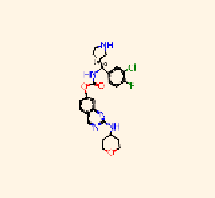 O=C(N[C@H](c1ccc(F)c(Cl)c1)[C@@H]1CCNC1)Oc1ccc2cnc(NC3CCOCC3)nc2c1